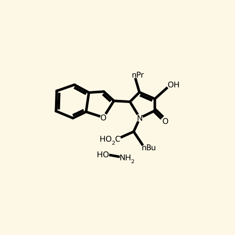 CCCCC(C(=O)O)N1C(=O)C(O)=C(CCC)C1c1cc2ccccc2o1.NO